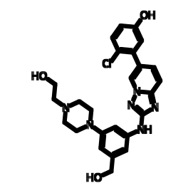 OCCN1CCN(c2cc(CO)cc(Nc3nc4ccc(-c5cc(O)ccc5Cl)cn4n3)c2)CC1